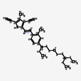 CCN(CC)CCOCCN(CC)c1ccc(/N=N/c2sc(C#N)c(C)c2C#N)c(C)c1